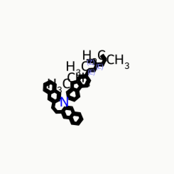 C=C(C)/C=C(\C=C/C)/C=C/c1ccc2c(c1)C(C)(C)c1cc(N3c4cc5ccccc5cc4CCc4cc5ccccc5cc43)ccc1-2